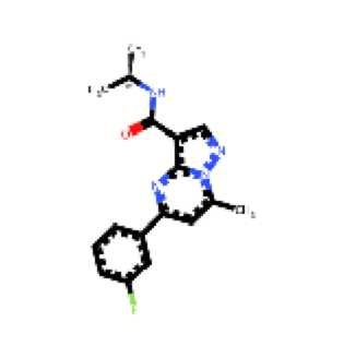 Cc1cc(-c2cccc(F)c2)nc2c(C(=O)N[C@@H](C)C(F)(F)F)cnn12